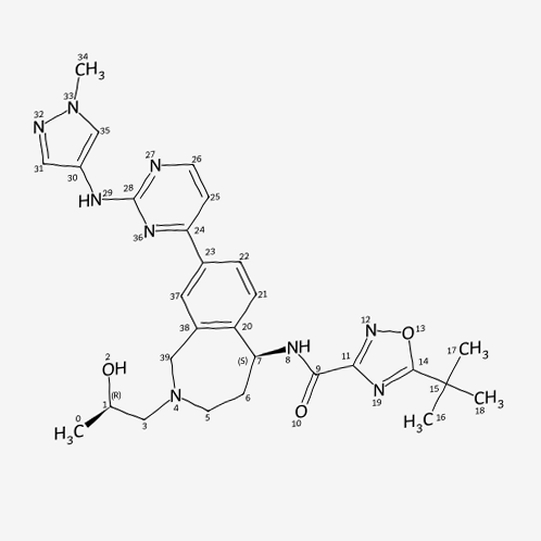 C[C@@H](O)CN1CC[C@H](NC(=O)c2noc(C(C)(C)C)n2)c2ccc(-c3ccnc(Nc4cnn(C)c4)n3)cc2C1